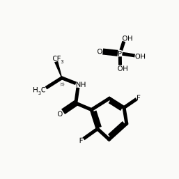 C[C@H](NC(=O)c1cc(F)ccc1F)C(F)(F)F.O=P(O)(O)O